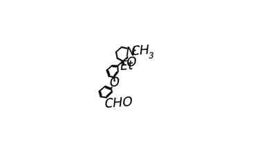 CCC1(c2cccc(Oc3cccc(C=O)c3)c2)CCCCN(C)C1=O